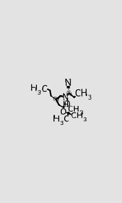 CCC[C@@H](CN[C@H](C#N)CC)CC(=O)OC(C)(C)C